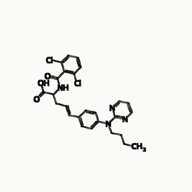 CCCCN(c1ccc(/C=C/CC(NC(=O)c2c(Cl)cccc2Cl)C(=O)O)cc1)c1ncccn1